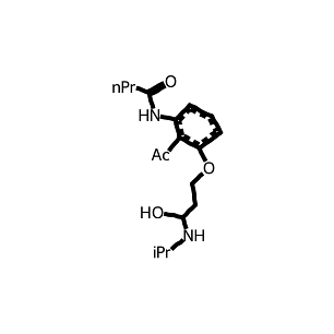 CCCC(=O)Nc1cccc(OCCC(O)NC(C)C)c1C(C)=O